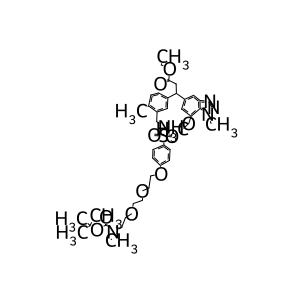 CCOC(=O)CC(c1ccc(C)c(CNS(=O)(=O)c2ccc(OCCOCCOCCN(C)C(=O)OC(C)(C)C)cc2)c1)c1cc(OC)c2c(c1)nnn2C